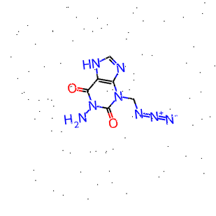 [N-]=[N+]=NCn1c(=O)n(N)c(=O)c2[nH]cnc21